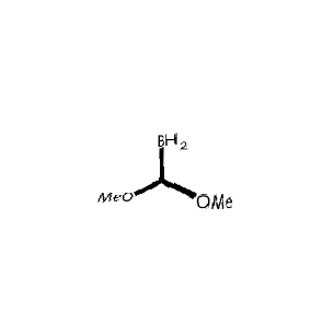 BC(OC)OC